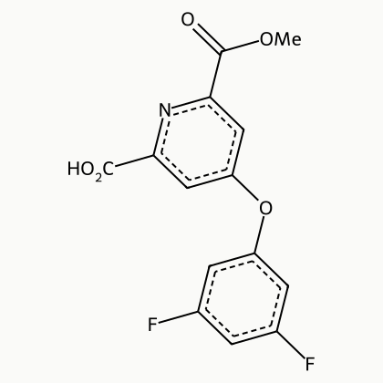 COC(=O)c1cc(Oc2cc(F)cc(F)c2)cc(C(=O)O)n1